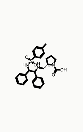 Cc1ccc(S(=O)(=O)NC(c2ccccc2)C(NC[C@@H]2CCCN2C(=O)O)c2ccccc2)cc1